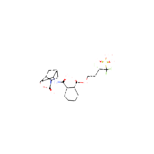 O=C(NC1C2CC3C(=O)OC1C3C2)C1CCCCC1C(=O)OCC[C@@H](F)C(F)(F)S(=O)(=O)O